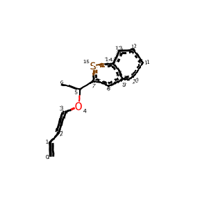 C=CC=COC(C)c1cc2ccccc2s1